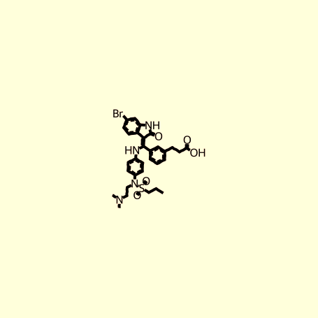 CCCS(=O)(=O)N(CCN(C)C)c1ccc(NC(=C2C(=O)Nc3cc(Br)ccc32)c2cccc(CCC(=O)O)c2)cc1